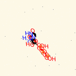 C[C@@]1(N)[C@H](O)[C@@H](COP(=O)(O)OOP(C)(=O)OOP(C)(=O)O)O[C@H]1n1ccc(=O)[nH]c1=O